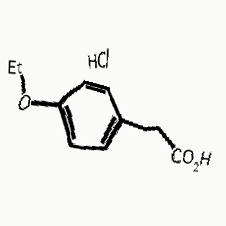 CCOc1ccc(CC(=O)O)cc1.Cl